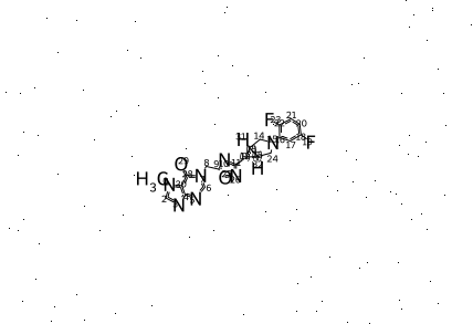 Cn1cnc2ncn(Cc3nc([C@H]4[C@@H]5CN(c6cc(F)ccc6F)C[C@@H]54)no3)c(=O)c21